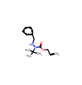 C=CCOC(=O)N(NCc1ccccc1)C(C)(C)C